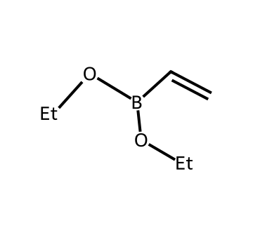 C=CB(OCC)OCC